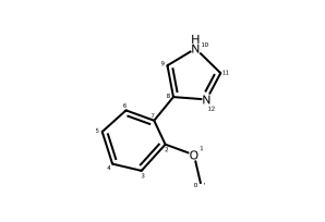 [CH2]Oc1ccccc1-c1c[nH]cn1